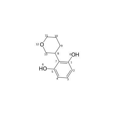 Oc1cccc(O)c1C1CCCOC1